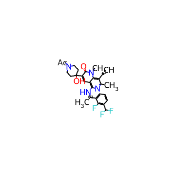 C#Cc1c(C)nc(N[C@H](C)c2cccc(C(F)F)c2F)c2cc(C3(O)CCN(C(C)=O)CC3)c(=O)n(C)c12